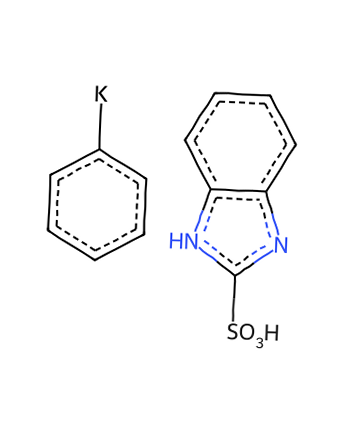 O=S(=O)(O)c1nc2ccccc2[nH]1.[K][c]1ccccc1